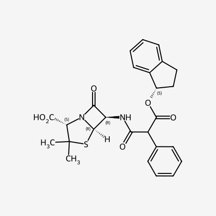 CC1(C)S[C@@H]2[C@H](NC(=O)C(C(=O)O[C@H]3CCc4ccccc43)c3ccccc3)C(=O)N2[C@H]1C(=O)O